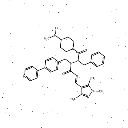 Cc1nn(C)c(C)c1C=CC(=O)N(Cc1ccc(-c2ccncc2)cc1)C(Cc1ccccc1)C(=O)N1CCC(N(C)C)CC1